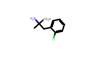 CC(N)(Cc1ccccc1Cl)C(=O)O